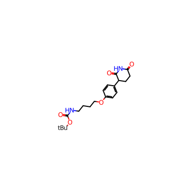 CC(C)(C)OC(=O)NCCCCOc1ccc(C2CCC(=O)NC2=O)cc1